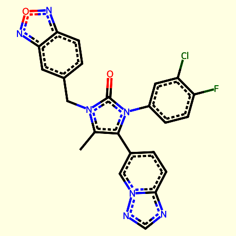 Cc1c(-c2ccc3ncnn3c2)n(-c2ccc(F)c(Cl)c2)c(=O)n1Cc1ccc2nonc2c1